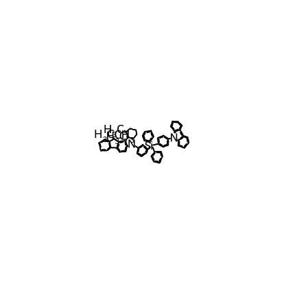 CC1CCCC2N(c3cccc([Si](c4ccccc4)(c4ccccc4)c4ccc(-n5c6ccccc6c6ccccc65)cc4)c3)c3ccc4c(c3C12C)C(C)(C)c1ccccc1-4